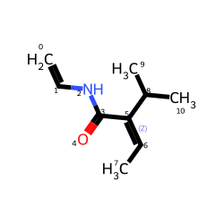 C=CNC(=O)/C(=C\C)C(C)C